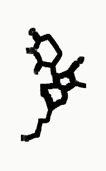 Cn1c(=O)n(C2CCC(=O)NC2=O)c2ccc(CCCO)cc21